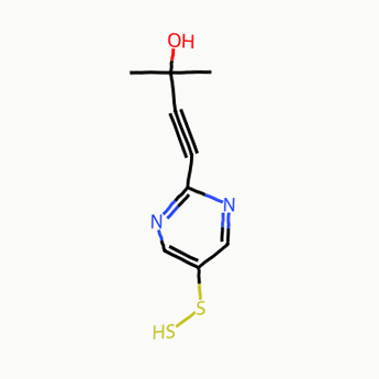 CC(C)(O)C#Cc1ncc(SS)cn1